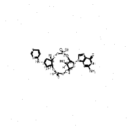 Nc1nc2c(ncn2[C@@H]2O[C@@H]3CO[P@](=O)(S)O[C@@H]4[C@@H](CO[P@](=O)(S)O[C@@H]2[C@@H]3O)C[C@@H](Nc2ccncn2)[C@H]4F)c(=O)[nH]1